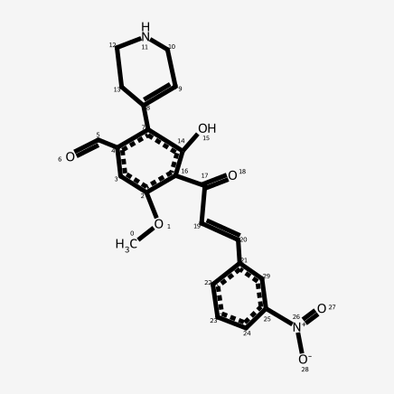 COc1cc(C=O)c(C2=CCNCC2)c(O)c1C(=O)/C=C/c1cccc([N+](=O)[O-])c1